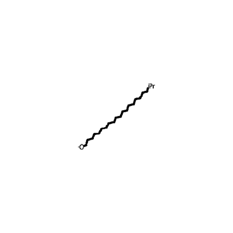 CC(C)CCCCCCCCCCCCCCCCCCC[O]